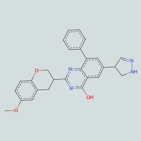 COc1ccc2c(c1)CC(c1nc(O)c3cc(C4C=NNC4)cc(-c4ccccc4)c3n1)CO2